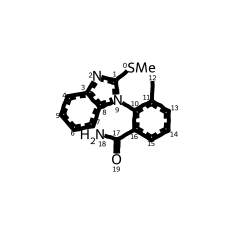 CSc1nc2ccccc2n1-c1c(C)cccc1C(N)=O